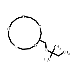 CCC(C)(C)OCC1COCCOCCOCCOCCO1